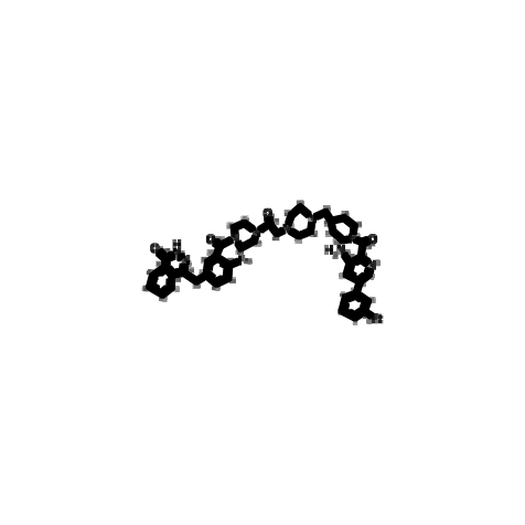 CCc1cccc(-c2cnc(C(=O)N3CCC(CN4CCN(CC(=O)N5CCN(C(=O)c6cc(Cc7n[nH]c(=O)c8ccccc78)ccc6F)CC5)CC4)CC3)c(N)c2)c1